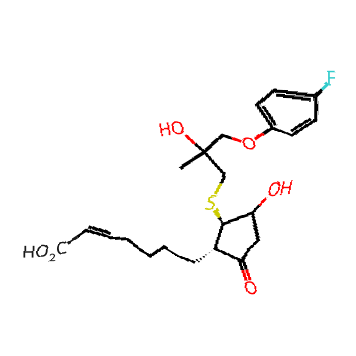 CC(O)(COc1ccc(F)cc1)CS[C@H]1C(O)CC(=O)[C@@H]1CCCCC=CC(=O)O